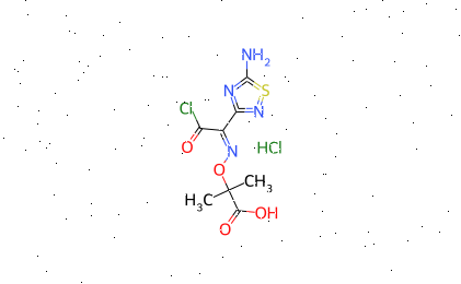 CC(C)(ON=C(C(=O)Cl)c1nsc(N)n1)C(=O)O.Cl